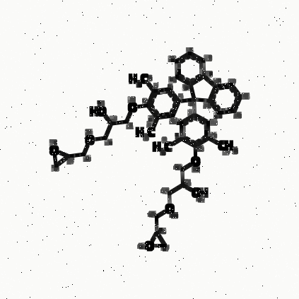 Cc1cc(C2(c3cc(C)c(OCC(O)COCC4CO4)c(C)c3)c3ccccc3-c3ccccc32)cc(C)c1OCC(O)COCC1CO1